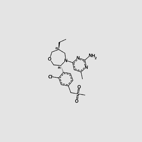 CC[C@@H]1COC[C@@H](c2ccc(CS(C)(=O)=O)cc2Cl)N(c2cc(C)nc(N)n2)C1